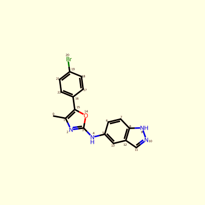 Cc1nc(Nc2ccc3[nH]ncc3c2)oc1-c1ccc(Br)cc1